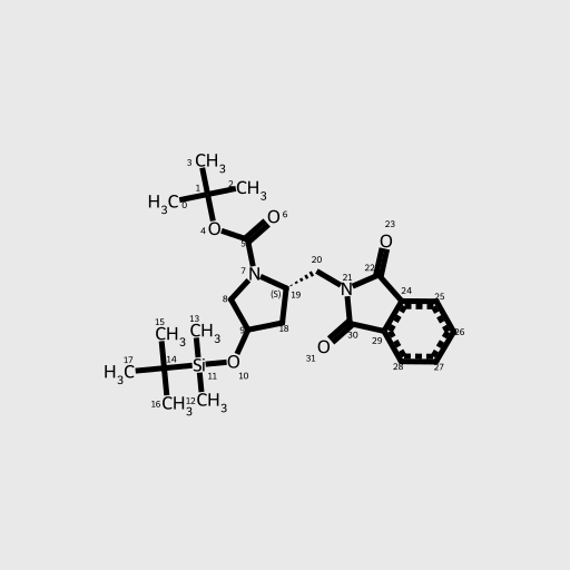 CC(C)(C)OC(=O)N1CC(O[Si](C)(C)C(C)(C)C)C[C@H]1CN1C(=O)c2ccccc2C1=O